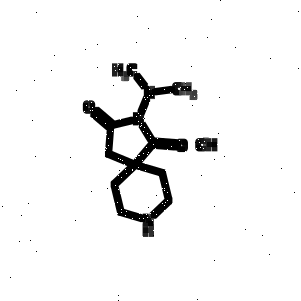 CN(C)N1C(=O)CC2(CCNCC2)C1=O.Cl